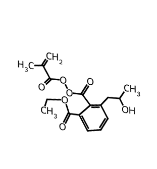 C=C(C)C(=O)OOC(=O)c1c(CC(C)O)cccc1C(=O)OCC